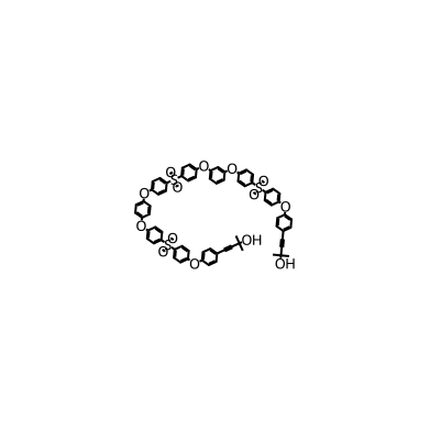 CC(C)(O)C#Cc1ccc(Oc2ccc(S(=O)(=O)c3ccc(Oc4ccc(Oc5ccc(S(=O)(=O)c6ccc(Oc7cccc(Oc8ccc(S(=O)(=O)c9ccc(Oc%10ccc(C#CC(C)(C)O)cc%10)cc9)cc8)c7)cc6)cc5)cc4)cc3)cc2)cc1